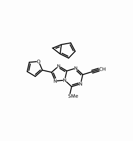 C#Cc1nc(SC)n2nc(-c3ccco3)nc2n1.c1cc2cc-2c1